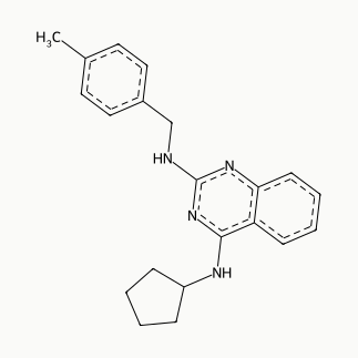 Cc1ccc(CNc2nc(NC3CCCC3)c3ccccc3n2)cc1